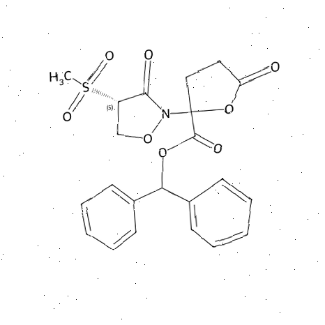 CS(=O)(=O)[C@H]1CON(C2(C(=O)OC(c3ccccc3)c3ccccc3)CCC(=O)O2)C1=O